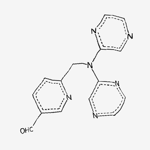 O=Cc1ccc(CN(c2cnccn2)c2cnccn2)nc1